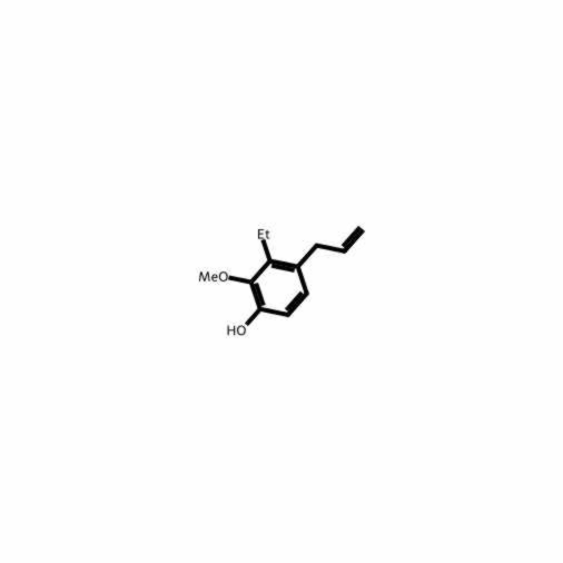 C=CCc1ccc(O)c(OC)c1CC